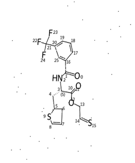 O=C(N[C@@H](CC1CC=CS1)C(=O)OCC=S)c1cccc(C(F)(F)F)c1